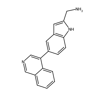 NCc1cc2cc(-c3cncc4ccccc34)ccc2[nH]1